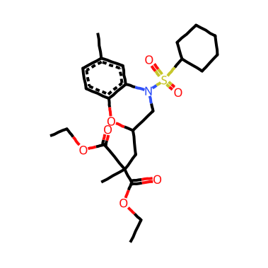 CCOC(=O)C(C)(CC1CN(S(=O)(=O)C2CCCCC2)c2cc(C)ccc2O1)C(=O)OCC